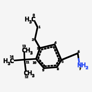 CCCc1cc(CN)ccc1C(C)(C)C